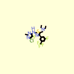 CCN(CC)Cc1sc(Nc2nc(C)nc(Cl)c2F)nc1-c1cc(F)cc(C(F)(F)F)c1